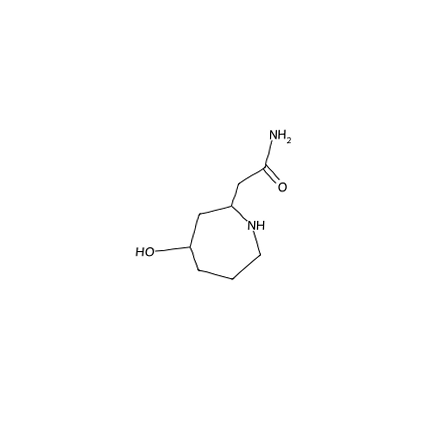 NC(=O)CC1CC(O)CCCN1